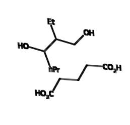 CCCC(O)C(CC)CO.O=C(O)CCCC(=O)O